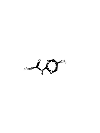 CCCCCC(=O)Nc1ncc(C)cn1